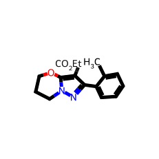 CCOC(=O)c1c(-c2ccccc2C)nn2c1OCCC2